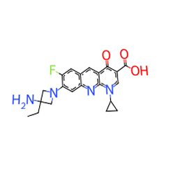 CCC1(N)CN(c2cc3nc4c(cc3cc2F)c(=O)c(C(=O)O)cn4C2CC2)C1